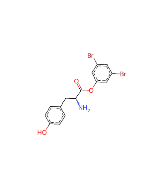 N[C@@H](Cc1ccc(O)cc1)C(=O)Oc1cc(Br)cc(Br)c1